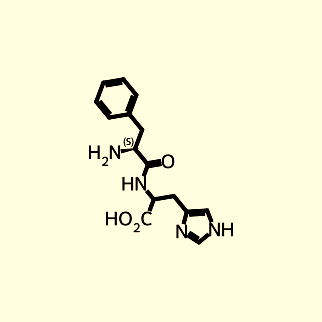 N[C@@H](Cc1ccccc1)C(=O)NC(Cc1c[nH]cn1)C(=O)O